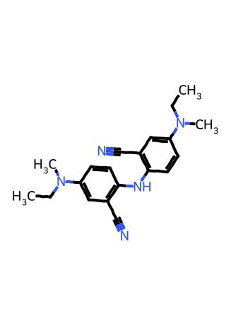 CCN(C)c1ccc(Nc2ccc(N(C)CC)cc2C#N)c(C#N)c1